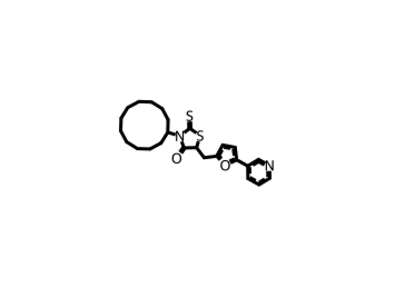 O=C1C(Cc2ccc(-c3cccnc3)o2)SC(=S)N1C1CCCCCCCCCCC1